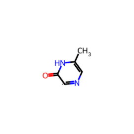 Cc1cn[c]c(=O)[nH]1